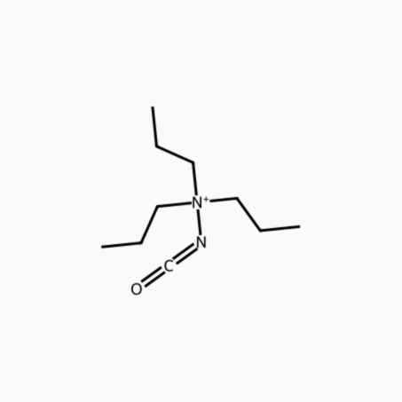 CCC[N+](CCC)(CCC)N=C=O